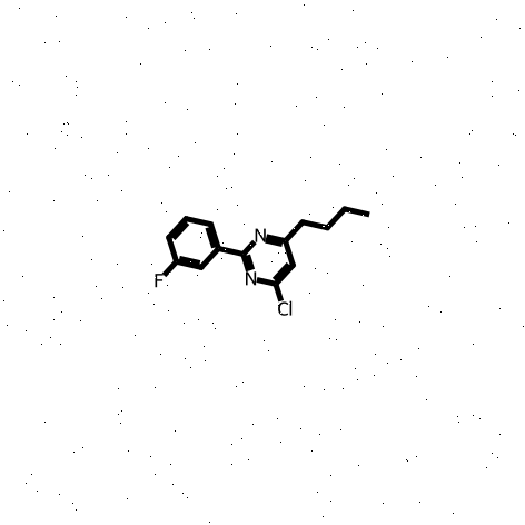 CCCCc1cc(Cl)nc(-c2cccc(F)c2)n1